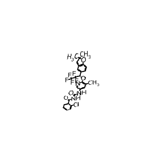 Cc1cc(NC(=O)NC(=O)c2ccccc2Cl)cnc1OC(c1ccc2c(c1)CC(C)(C)O2)C(F)(F)C(F)(F)F